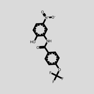 O=C(Nc1cc([N+](=O)[O-])ccc1O)c1ccc(OC(F)(F)F)cc1